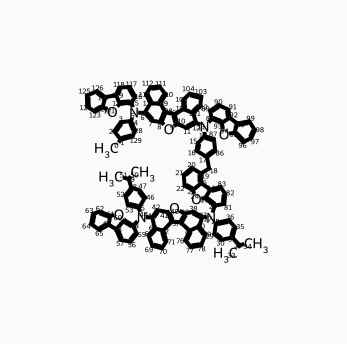 Cc1ccc(N(c2cc3oc4cc(N(c5ccc(Cc6cccc7oc8c(N(c9ccc(C(C)C)cc9)c9cc%10oc%11cc(N(c%12ccc(C(C)C)cc%12)c%12cccc%13c%12oc%12ccccc%12%13)c%12ccccc%12c%11c%10c%10ccccc9%10)cccc8c67)cc5)c5cccc6c5oc5ccccc56)c5ccccc5c4c3c3ccccc23)c2cccc3c2oc2ccccc23)cc1